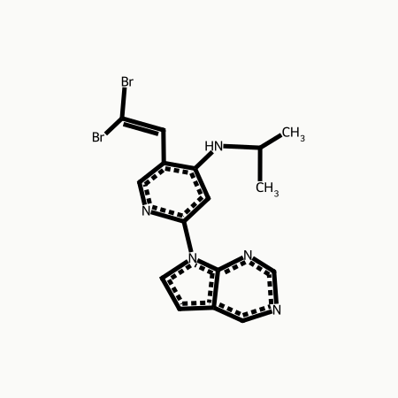 CC(C)Nc1cc(-n2ccc3cncnc32)ncc1C=C(Br)Br